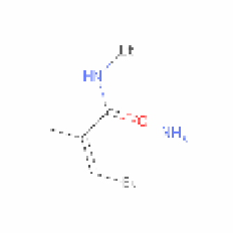 CCC=C(C)C(=O)NCC.N